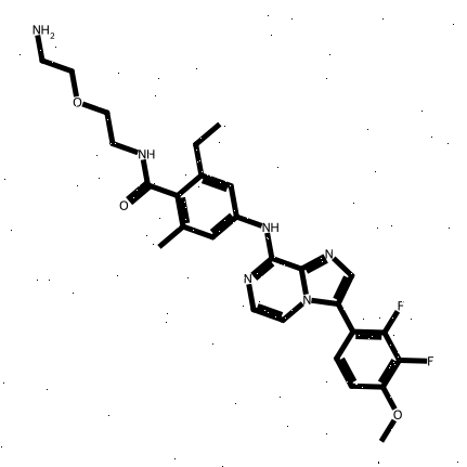 CCc1cc(Nc2nccn3c(-c4ccc(OC)c(F)c4F)cnc23)cc(C)c1C(=O)NCCOCCN